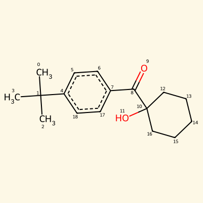 CC(C)(C)c1ccc(C(=O)C2(O)CCCCC2)cc1